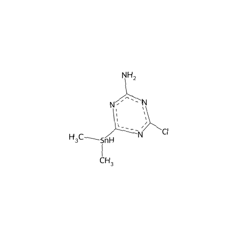 [CH3][SnH]([CH3])[c]1nc(N)nc(Cl)n1